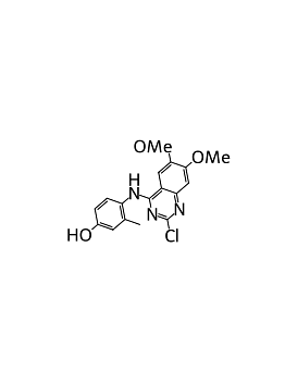 COc1cc2nc(Cl)nc(Nc3ccc(O)cc3C)c2cc1OC